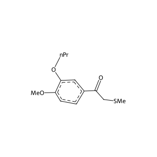 CCCOc1cc(C(=O)CSC)ccc1OC